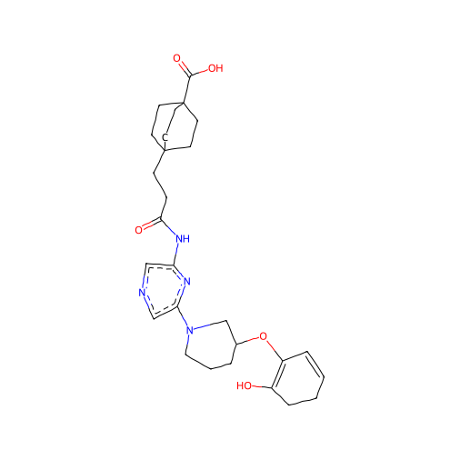 O=C(CCC12CCC(C(=O)O)(CC1)CC2)Nc1cncc(N2CCCC(OC3=C(O)CCC=C3)C2)n1